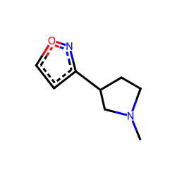 CN1CCC(c2ccon2)C1